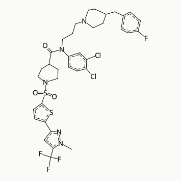 Cn1nc(-c2ccc(S(=O)(=O)N3CCC(C(=O)N(CCCN4CCC(Cc5ccc(F)cc5)CC4)c4ccc(Cl)c(Cl)c4)CC3)s2)cc1C(F)(F)F